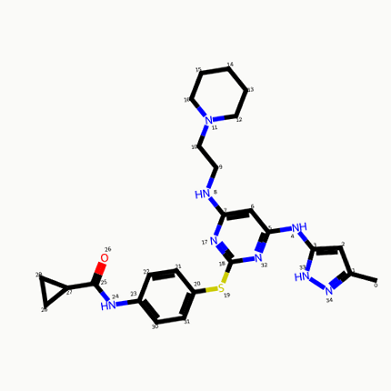 Cc1cc(Nc2cc(NCCN3CCCCC3)nc(Sc3ccc(NC(=O)C4CC4)cc3)n2)[nH]n1